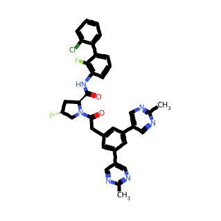 Cc1ncc(-c2cc(CC(=O)N3C[C@H](F)C[C@H]3C(=O)Nc3cccc(-c4ccccc4Cl)c3F)cc(-c3cnc(C)nc3)c2)cn1